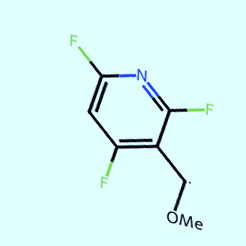 CO[CH]c1c(F)cc(F)nc1F